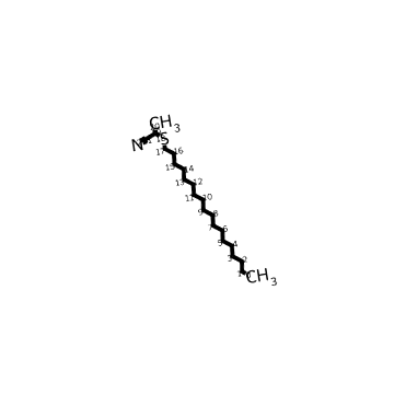 CCCCCCCCCCCCCCCCCCSC(C)C#N